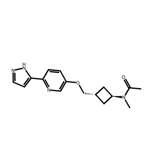 CC(=O)N(C)[C@H]1C[C@H](COc2ccc(-c3ccn[nH]3)nc2)C1